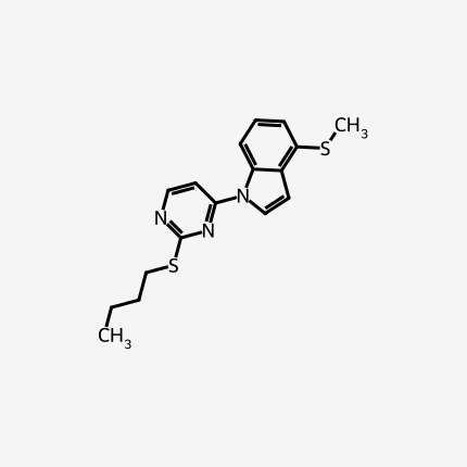 CCCCSc1nccc(-n2ccc3c(SC)cccc32)n1